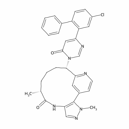 C[C@@H]1CCC[C@H](n2cnc(-c3cc(Cl)ccc3-c3ccccc3)cc2=O)c2cc(ccn2)-c2c(cnn2C)NC1=O